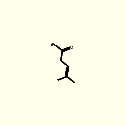 CC(C)=CCC(=O)C(C)C